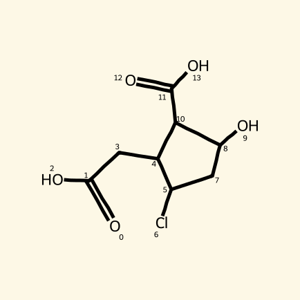 O=C(O)CC1C(Cl)CC(O)C1C(=O)O